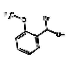 OC(Br)c1ccccc1OC(F)(F)F